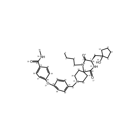 CCCCN1C(=O)[C@@H](CC2(O)CCCC2)NC(=O)C12CCN(Cc1ccc(Oc3ccc(C(=O)NC)cc3)cc1)CC2